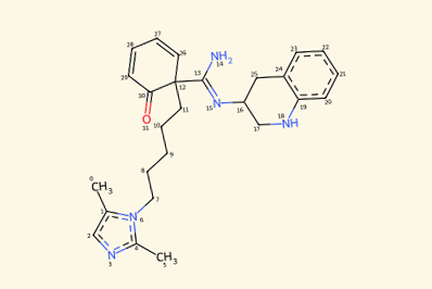 Cc1cnc(C)n1CCCCCC1(C(N)=NC2CNc3ccccc3C2)C=CC=CC1=O